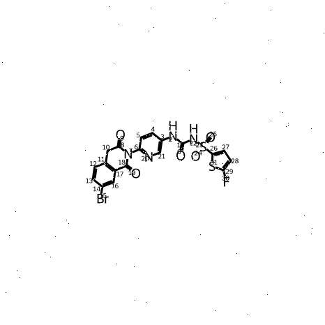 O=C(Nc1ccc(N2C(=O)Cc3ccc(Br)cc3C2=O)nc1)NS(=O)(=O)c1ccc(F)s1